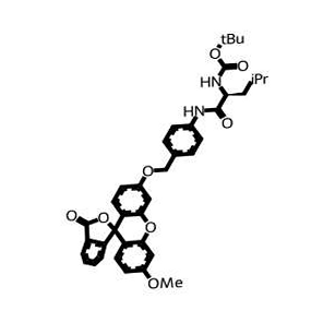 COc1ccc2c(c1)Oc1cc(OCc3ccc(NC(=O)[C@H](CC(C)C)NC(=O)OC(C)(C)C)cc3)ccc1C21OC(=O)c2ccccc21